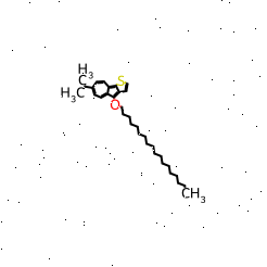 CCCCCCCCCCCCCCCCCCOc1c2ccc(C(C)C)ccc-2c2sccc12